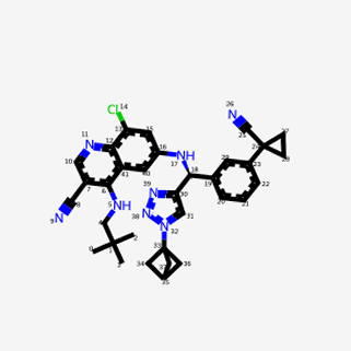 CC(C)(C)CNc1c(C#N)cnc2c(Cl)cc(N[C@@H](c3cccc(C4(C#N)CC4)c3)c3cn(C45CC(C4)C5)nn3)cc12